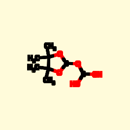 CC1(C)OB(OB(O)O)OC1(C)C